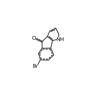 O=C1C2=C(NCC=C2)c2ccc(Br)cc21